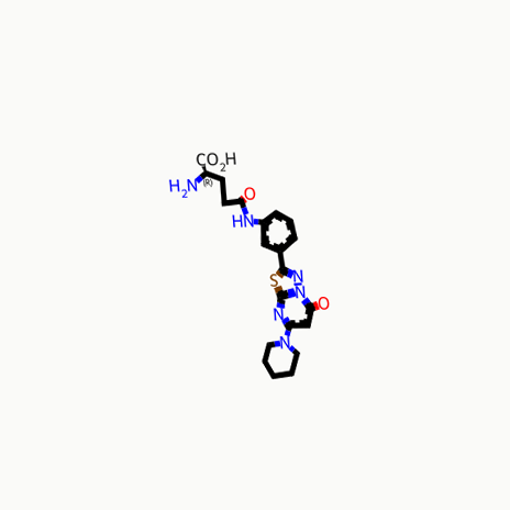 N[C@H](CCC(=O)Nc1cccc(-c2nn3c(=O)cc(N4CCCCC4)nc3s2)c1)C(=O)O